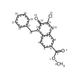 COC(=O)c1ccc2c(c1)nc(Cl)c(=O)n2Cc1ccccc1